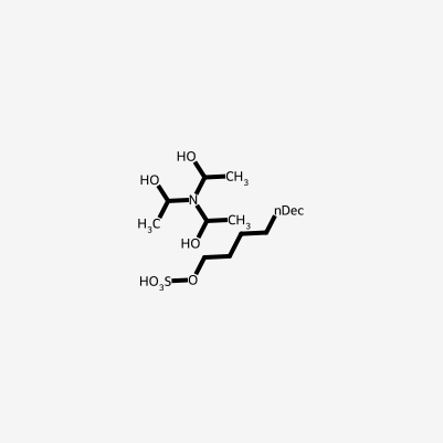 CC(O)N(C(C)O)C(C)O.CCCCCCCCCCCCCCOS(=O)(=O)O